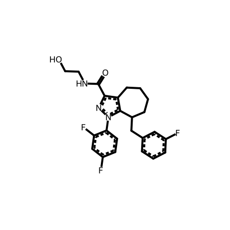 O=C(NCCO)c1nn(-c2ccc(F)cc2F)c2c1CCCCC2Cc1cccc(F)c1